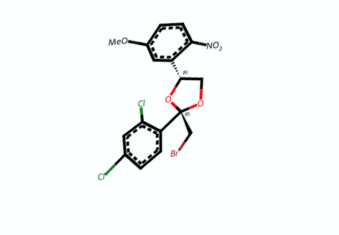 COc1ccc([N+](=O)[O-])c([C@@H]2CO[C@](CBr)(c3ccc(Cl)cc3Cl)O2)c1